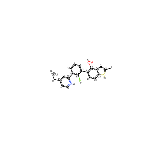 Cc1cc2c(O)c(-c3cccc(-c4cc(CC(C)(C)C)ccn4)c3F)ccc2s1